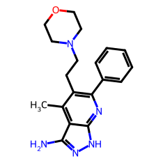 Cc1c(CCN2CCOCC2)c(-c2ccccc2)nc2[nH]nc(N)c12